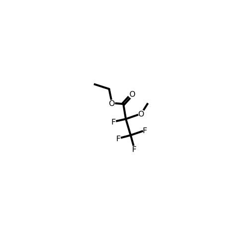 CCOC(=O)C(F)(OC)C(F)(F)F